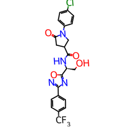 O=C(N[C@@H](CO)c1nc(-c2ccc(C(F)(F)F)cc2)no1)C1CC(=O)N(c2ccc(Cl)cc2)C1